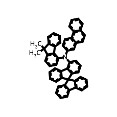 CC1(C)c2ccccc2-c2c(N(c3ccc4c(ccc5ccccc54)c3)c3cccc4c3-c3ccccc3C43c4ccccc4-c4ccccc43)cccc21